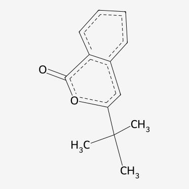 CC(C)(C)c1cc2ccccc2c(=O)o1